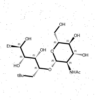 CC[C@@H](O)[C@@H](O)[C@H](O)[C@@H](CC(C)(C)C)O[C@@H]1O[C@H](CO)[C@@H](O)[C@H](O)[C@H]1NC(C)=O